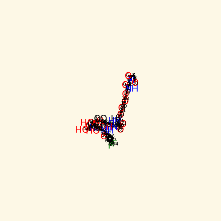 O=C(CCN1C(=O)C=CC1=O)NCCOCCOCCOCCOCCNc1c(NCCCCCCO[C@]2(C(=O)O)C[C@H](O)[C@@H](NC(=O)CO)[C@H]([C@H](O)[C@H](O)CNC(=O)Cc3ccc(C(F)F)cc3)O2)c(=O)c1=O